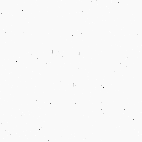 [CH2]C(Cc1cccnc1)c1ccccn1